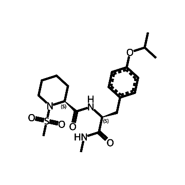 CNC(=O)[C@H](Cc1ccc(OC(C)C)cc1)NC(=O)[C@@H]1CCCCN1S(C)(=O)=O